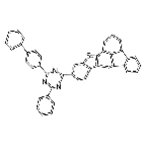 c1ccc(-c2ccc(-c3nc(-c4ccccc4)nc(-c4ccc5c(c4)sc4c6cccc7c6c(cc54)-c4ccccc4-7)n3)cc2)cc1